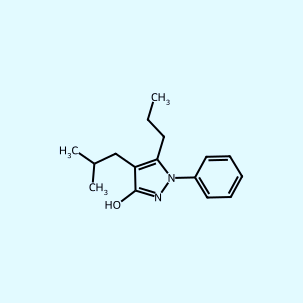 CCCc1c(CC(C)C)c(O)nn1-c1ccccc1